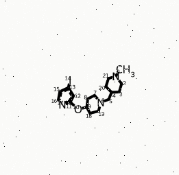 CN1CCC(CN2CCC(Oc3cc(I)ccn3)CC2)CC1